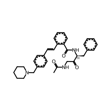 CC(=O)NCC(=O)[C@H](Cc1ccccc1)NC(=O)c1ccccc1C=Cc1ccc(CN2CCCCC2)cc1